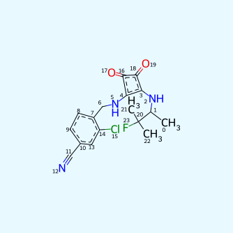 CC(Nc1c(NCc2ccc(C#N)cc2Cl)c(=O)c1=O)C(C)(C)F